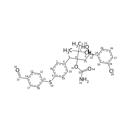 CC(C)(C)C(Cc1ccc(Sc2ccc(C=O)cc2)cc1)(C[C@@H](O)c1cccc(Cl)c1)OC(N)=O